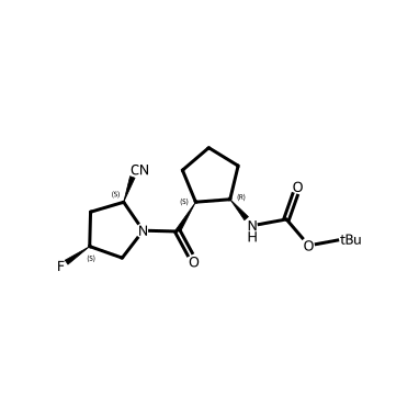 CC(C)(C)OC(=O)N[C@@H]1CCC[C@@H]1C(=O)N1C[C@@H](F)C[C@H]1C#N